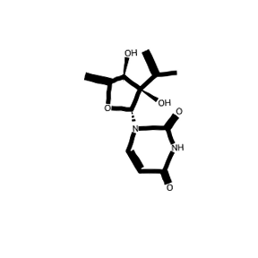 C=C1O[C@@H](n2ccc(=O)[nH]c2=O)[C@@](O)(C(=C)C)[C@@H]1O